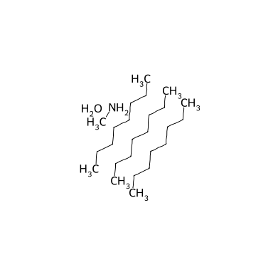 CCCCCCCC.CCCCCCCC.CCCCCCCC.CN.O